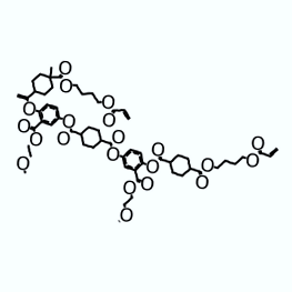 C=CC(=O)OCCCCOC(=O)C1CCC(C(=O)Oc2ccc(OC(=O)C3CCC(C(=O)Oc4ccc(OC(=C)C5CCC(C)(C(=O)OCCCCOC(=O)C=C)CC5)c(C(=O)OCCOC)c4)CC3)cc2C(=O)OCCOC)CC1